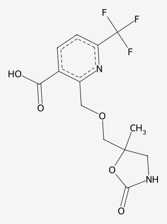 CC1(COCc2nc(C(F)(F)F)ccc2C(=O)O)CNC(=O)O1